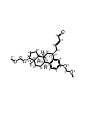 COCOc1ccc2c(c1)[C@H](CC=CC=O)C[C@@H]1[C@@H]2CC[C@]2(C)[C@@H](OCOC)CC[C@@H]12